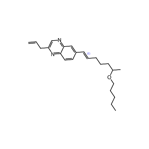 C=CCc1cnc2cc(/C=C/CCCC(C)OCCCCC)ccc2n1